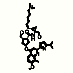 COc1ccc2c(O[C@H]3C[C@@H](C=O)[C@H](C(=O)N[C@]4(C=O)C[C@H]4/C=C\CCCCN(C)C)C3)cc(-n3ccc(C(C)C)n3)nc2c1C